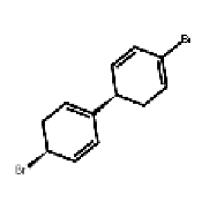 BrC1=CC[C@@H](C2=CC[C@H](Br)C=C2)C=C1